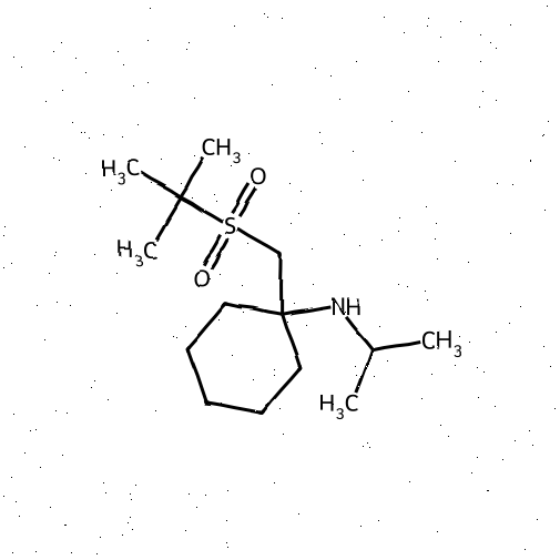 CC(C)NC1(CS(=O)(=O)C(C)(C)C)CCCCC1